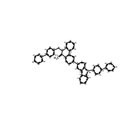 C=C1c2ccc(-c3ccc4c(c3)c3ccccc3n4-c3ccc(-c4ccccc4)cc3)cc2-c2ccccc2C1Cc1ccc(-c2ccccc2)cc1